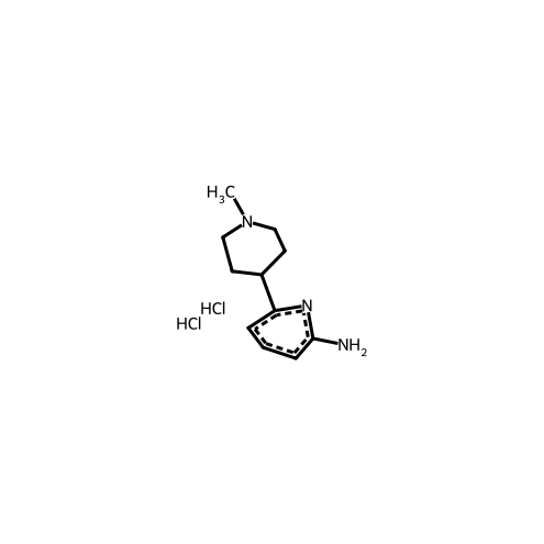 CN1CCC(c2cccc(N)n2)CC1.Cl.Cl